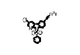 CCCC#Cc1ccc2c(c1)c1cc(Cl)cnc1n2S(=O)(=O)c1ccccc1